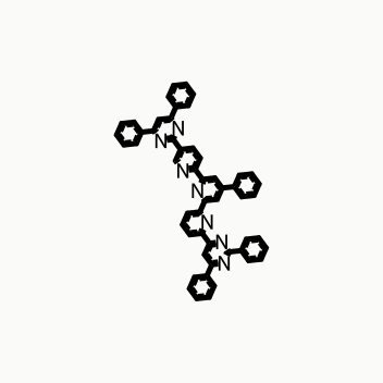 c1ccc(-c2cc(-c3ccc(-c4nc(-c5ccccc5)cc(-c5ccccc5)n4)cn3)nc(-c3cccc(-c4cc(-c5ccccc5)nc(-c5ccccc5)n4)n3)c2)cc1